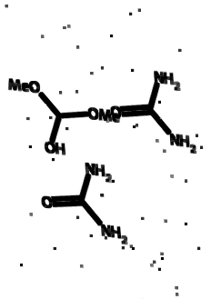 COC(O)OC.NC(N)=O.NC(N)=O